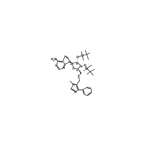 Cn1cnc(-c2ccccc2)c1CSC[C@H]1O[C@@H](n2ccc3c(N)ncnc32)[C@H](O[Si](C)(C)C(C)(C)C)[C@@H]1O[Si](C)(C)C(C)(C)C